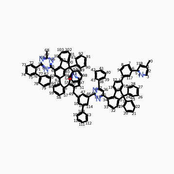 Cc1ccnc(-c2cccc(-c3ccc4c(c3)C(c3ccccc3)(c3ccccc3)c3cccc(-c5cc(-c6ccccc6)nc(-c6cc(Cc7ccncc7-c7ccccc7-c7cc(-c8nc(C)nc(-c9ccccc9-c9ccccc9)n8)c8c(c7)C(c7ccccc7)(c7ccccc7)c7ccccc7-8)cc(-c7ccccc7)c6)n5)c3-4)c2)c1